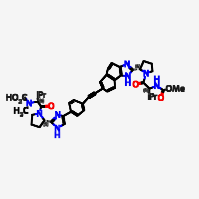 COC(=O)N[C@H](C(=O)N1CCC[C@H]1c1nc2ccc3cc(C#Cc4ccc(-c5c[nH]c([C@@H]6CCCN6C(=O)[C@H](C(C)C)N(C)C(=O)O)n5)cc4)ccc3c2[nH]1)C(C)C